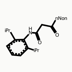 CCCCCCCCCC(=O)CC(=O)Nc1c(C(C)C)cccc1C(C)C